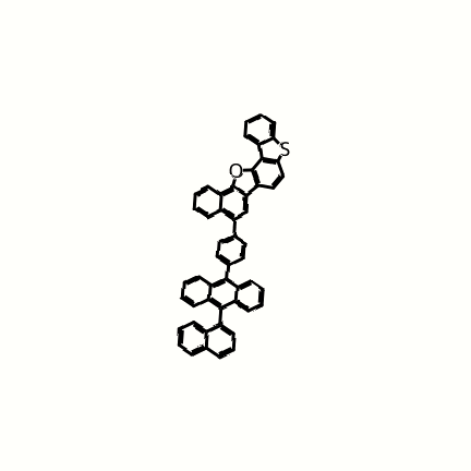 c1ccc2c(-c3c4ccccc4c(-c4ccc(-c5cc6c7ccc8sc9ccccc9c8c7oc6c6ccccc56)cc4)c4ccccc34)cccc2c1